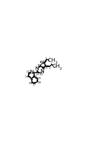 C=C/C=c1\c(=C/C)sc2nc(-c3nccc4ccccc34)cnc12